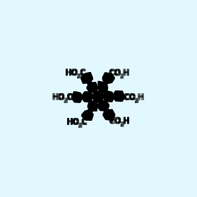 O=C(O)c1ccc(-c2ccc(-c3c(-c4ccc(-c5ccc(C(=O)O)cc5)cc4)c(-c4ccc(-c5ccc(C(=O)O)cc5)cc4)c(-c4ccc(-c5ccc(C(=O)O)cc5)cc4)c(-c4ccc(-c5ccc(C(=O)O)cc5)cc4)c3-c3ccc(-c4ccc(C(=O)O)cc4)cc3)cc2)cc1